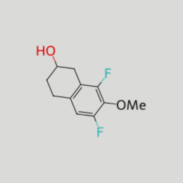 COc1c(F)cc2c(c1F)CC(O)CC2